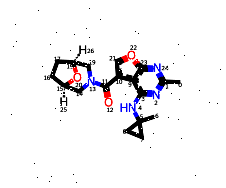 Cc1nc(NC2(C)CC2)c2c(C(=O)N3C[C@H]4CC[C@@H](C3)O4)coc2n1